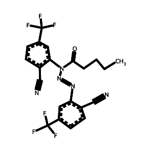 CCCCC(=O)N(N=Nc1cc(C(F)(F)F)ccc1C#N)c1cc(C(F)(F)F)ccc1C#N